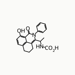 CC(NC(=O)O)c1c2c3c(ccc(O)c3c(=O)n1-c1ccccc1)CCC2